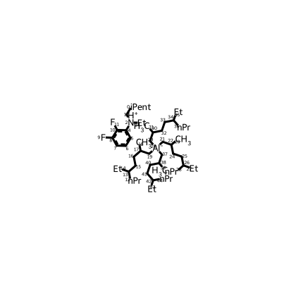 CCCC(C)C[NH+](CC)c1cccc(F)c1F.CCCC(CC)CCC(C)[CH2][Al-]([CH2]C(C)CCC(CC)CCC)([CH2]C(C)CCC(CC)CCC)[CH2]C(C)CCC(CC)CCC